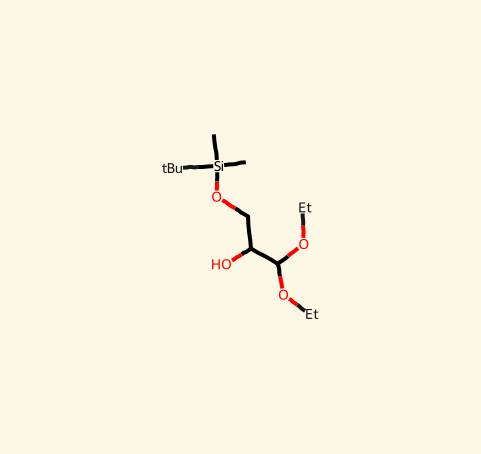 CCOC(OCC)C(O)CO[Si](C)(C)C(C)(C)C